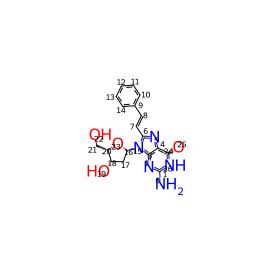 Nc1nc2c(nc(C=Cc3ccccc3)n2[C@H]2C[C@H](O)[C@@H](CO)O2)c(=O)[nH]1